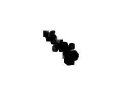 CCC(CC)CNC(=O)c1ccc2c(c1)C1=Nc3cccc4cccc(c34)N1C2=O